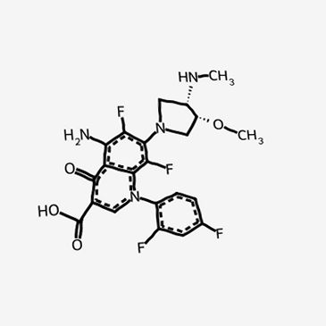 CN[C@H]1CN(c2c(F)c(N)c3c(=O)c(C(=O)O)cn(-c4ccc(F)cc4F)c3c2F)C[C@H]1OC